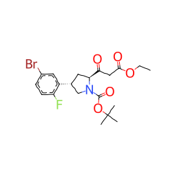 CCOC(=O)CC(=O)[C@@H]1C[C@@H](c2cc(Br)ccc2F)CN1C(=O)OC(C)(C)C